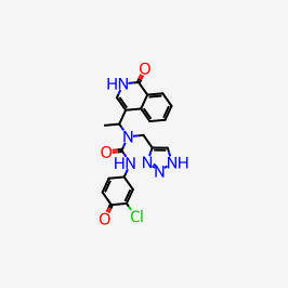 CC(c1c[nH]c(=O)c2ccccc12)N(Cc1c[nH]nn1)C(=O)NC1C=CC(=O)C(Cl)=C1